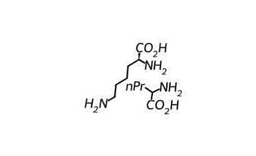 CCCC(N)C(=O)O.NCCCC[C@H](N)C(=O)O